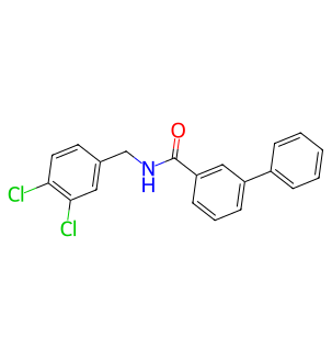 O=C(NCc1ccc(Cl)c(Cl)c1)c1cccc(-c2ccccc2)c1